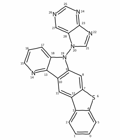 c1ccc2c(c1)sc1cc3c(cc12)c1ncccc1n3-n1cnc2ncncc21